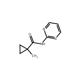 CC1(C(=O)Nc2ncccn2)CC1